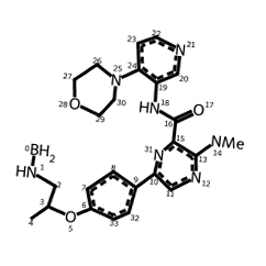 BNCC(C)Oc1ccc(-c2cnc(NC)c(C(=O)Nc3cnccc3N3CCOCC3)n2)cc1